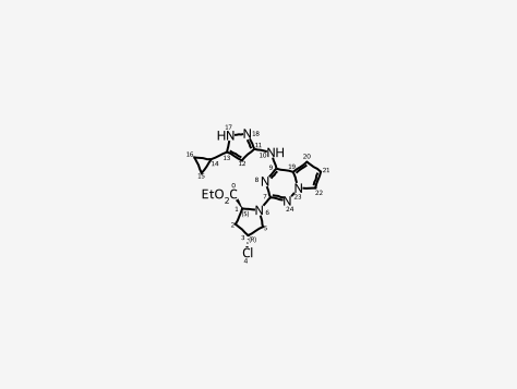 CCOC(=O)[C@@H]1C[C@@H](Cl)CN1c1nc(Nc2cc(C3CC3)[nH]n2)c2cccn2n1